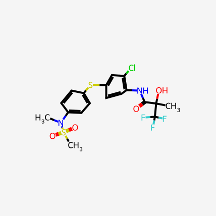 CN(c1ccc(Sc2ccc(NC(=O)C(C)(O)C(F)(F)F)c(Cl)c2)cc1)S(C)(=O)=O